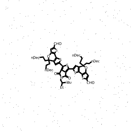 CCCCCCCCCCCCC1(CCCCCCCCCCCC)Oc2cc(C=O)sc2-c2sc(-c3sc(-c4cc5c(s4)-c4sc(C=O)cc4OC5(CCCCCCCCCCCC)CCCCCCCCCCCC)c4c3C(=O)N(CC(CC)CCCC)C4=O)cc21